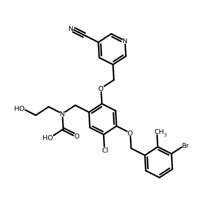 Cc1c(Br)cccc1COc1cc(OCc2cncc(C#N)c2)c(CN(CCO)C(=O)O)cc1Cl